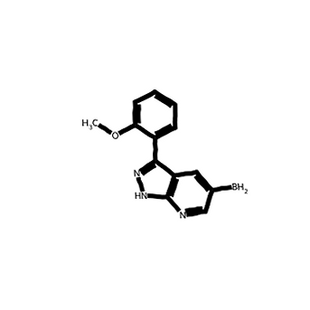 Bc1cnc2[nH]nc(-c3ccccc3OC)c2c1